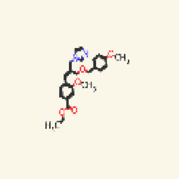 CCOC(=O)c1ccc(/C=C(\COCc2ccc(OC)cc2)Cn2ccnc2)c(OC)c1